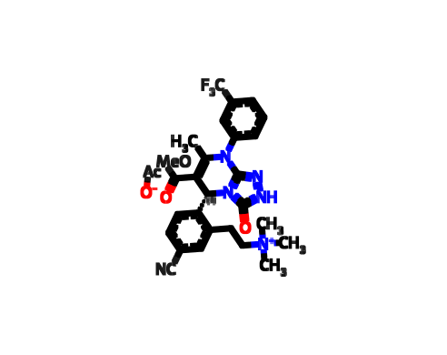 CC(=O)[O-].COC(=O)C1=C(C)N(c2cccc(C(F)(F)F)c2)c2n[nH]c(=O)n2[C@@H]1c1ccc(C#N)cc1CC[N+](C)(C)C